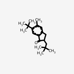 Cc1cc2c(cc1C(C)(C)C)C(=O)C(CC(C)(C)C)C2